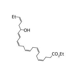 CC/C=C\CC(O)/C=C/C=C\C/C=C\C/C=C\C/C=C\CCC(=O)OCC